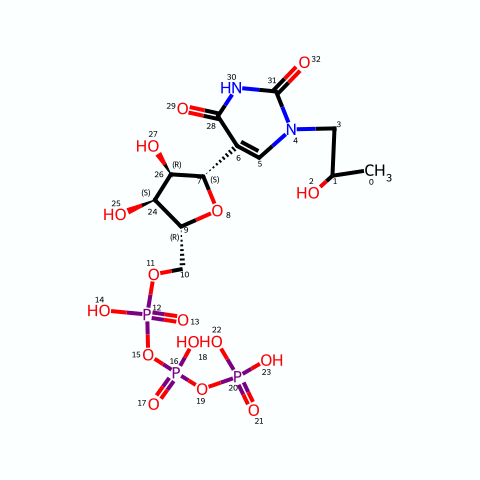 CC(O)Cn1cc([C@@H]2O[C@H](COP(=O)(O)OP(=O)(O)OP(=O)(O)O)[C@@H](O)[C@H]2O)c(=O)[nH]c1=O